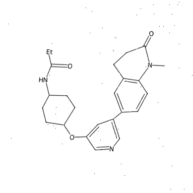 CCC(=O)NC1CCC(Oc2cncc(-c3ccc4c(c3)CCC(=O)N4C)c2)CC1